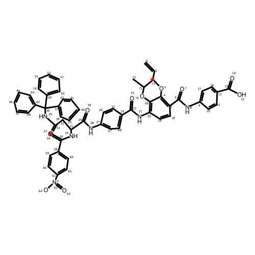 C=CCOc1c(C(=O)Nc2ccc(C(=O)O)cc2)ccc(NC(=O)c2ccc(NC(=O)C(CC(=O)NC(c3ccccc3)(c3ccccc3)c3ccccc3)NC(=O)c3ccc([N+](=O)[O-])cc3)cc2)c1OC(C)C